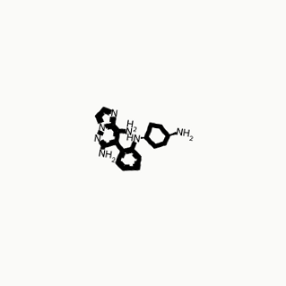 Nc1nn2ccnc2c(N)c1-c1ccccc1N[C@H]1CC[C@H](N)CC1